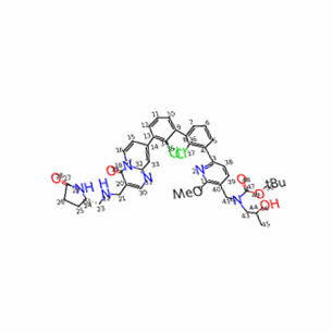 COc1nc(-c2cccc(-c3cccc(-c4ccn5c(=O)c(CNC[C@@H]6CCC(=O)N6)cnc5c4)c3Cl)c2Cl)ccc1CN(CC(C)O)C(=O)OC(C)(C)C